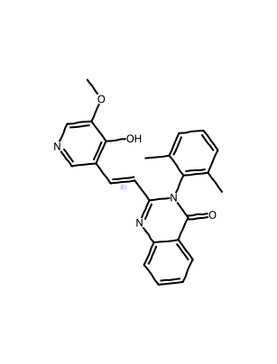 COc1cncc(/C=C/c2nc3ccccc3c(=O)n2-c2c(C)cccc2C)c1O